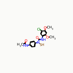 COc1cc(OC)c(NC(=O)N(S)c2ccc(NC(C)=O)cc2)cc1Cl